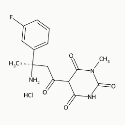 CN1C(=O)NC(=O)C(C(=O)C[C@@](C)(N)c2cccc(F)c2)C1=O.Cl